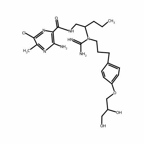 CCCC(CNC(=O)c1nc(Cl)c(C)nc1N)N(CCCc1ccc(OCC(O)CO)cc1)C(=N)N